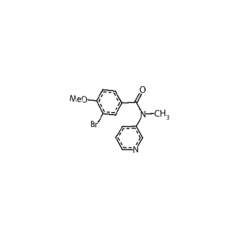 COc1ccc(C(=O)N(C)c2cccnc2)cc1Br